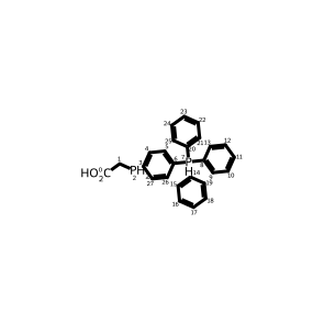 O=C(O)CP.c1ccc([PH](c2ccccc2)(c2ccccc2)c2ccccc2)cc1